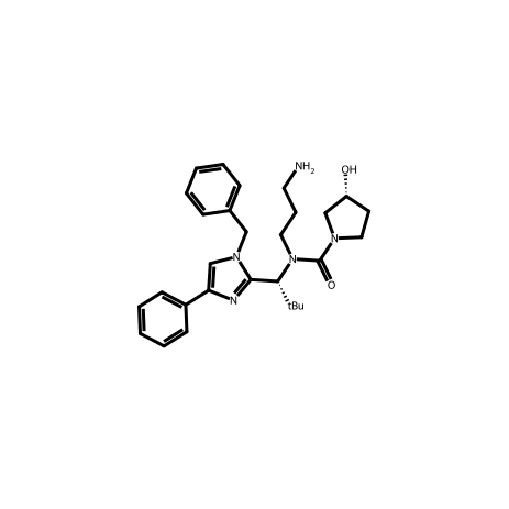 CC(C)(C)[C@H](c1nc(-c2ccccc2)cn1Cc1ccccc1)N(CCCN)C(=O)N1CC[C@@H](O)C1